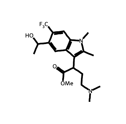 COC(=O)C(CCN(C)C)c1c(C)n(C)c2cc(C(F)(F)F)c(C(C)O)cc12